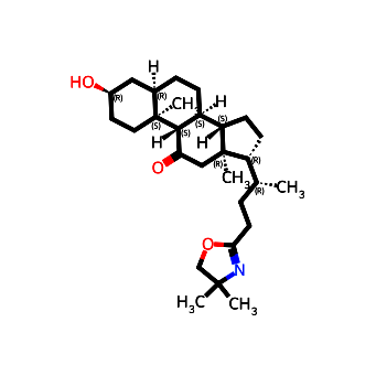 C[C@H](CCC1=NC(C)(C)CO1)[C@H]1CC[C@H]2[C@@H]3CC[C@@H]4C[C@H](O)CC[C@]4(C)[C@H]3C(=O)C[C@]12C